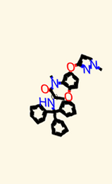 CN1C(=O)[C@@H](NC(c2ccccc2)(c2ccccc2)c2ccccc2)COc2ccc(Oc3ccn(C)n3)cc21